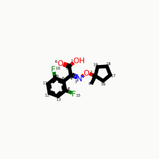 CC1(O/N=C(\C(=O)O)c2c(F)cccc2F)CCCC1